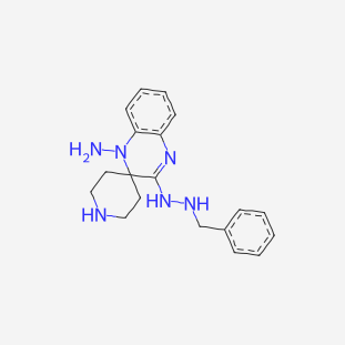 NN1c2ccccc2N=C(NNCc2ccccc2)C12CCNCC2